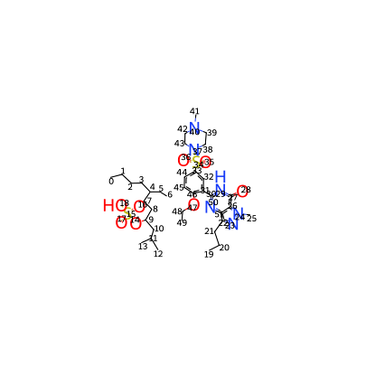 CCCCC(CC)CCC(CC(C)C)OS(=O)(=O)O.CCCc1nn(C)c2c(=O)[nH]c(-c3cc(S(=O)(=O)N4CCN(C)CC4)ccc3OCC)nc12